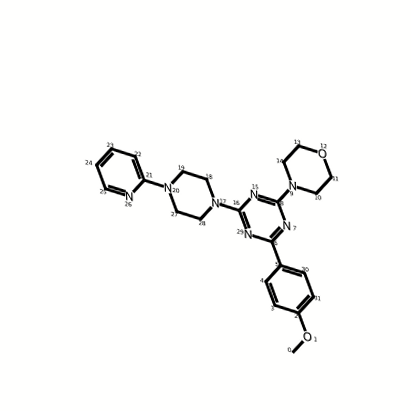 COc1ccc(-c2nc(N3CCOCC3)nc(N3CCN(c4ccccn4)CC3)n2)cc1